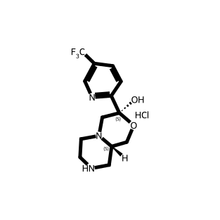 Cl.O[C@@]1(c2ccc(C(F)(F)F)cn2)CN2CCNC[C@H]2CO1